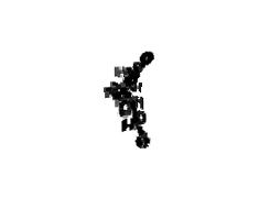 O=C(C=CC(=O)Nc1cc2c(Nc3ccc4[nH]c(OCc5ccccc5)cc4c3)ncnc2cn1)NCCCN1CCOCC1